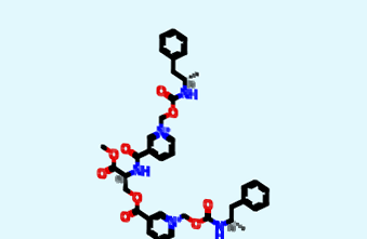 COC(=O)[C@H](COC(=O)c1ccc[n+](COC(=O)N[C@@H](C)Cc2ccccc2)c1)NC(=O)c1ccc[n+](COC(=O)N[C@@H](C)Cc2ccccc2)c1